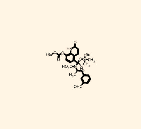 C[C@H](Cc1cccc(C=O)c1)N(C(=O)O)[C@@](C)(O[Si](C)(C)C(C)(C)C)c1ccc(OC(=O)OC(C)(C)C)c2[nH]c(=O)ccc12